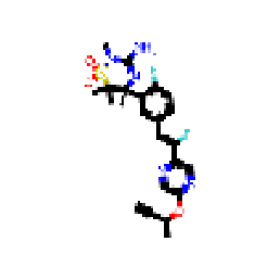 C#CC(C)Oc1cnc(/C(F)=C/c2ccc(F)c([C@@]3(C)N=C(N)N(C)S(=O)(=O)C3(C)C)c2)cn1